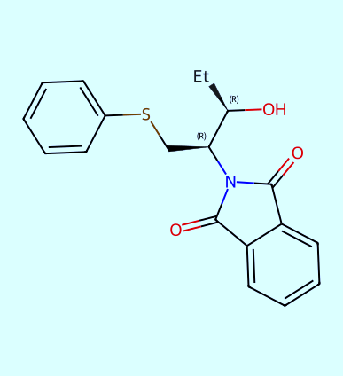 CC[C@@H](O)[C@H](CSc1ccccc1)N1C(=O)c2ccccc2C1=O